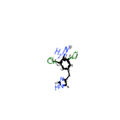 Nc1c(Cl)cc(Cc2c[nH]cn2)cc1Cl